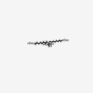 CCCCCCCCCCCCCCCCCCS(CCCCCCCCCCCCCCCCCC)=P(O)(O)S